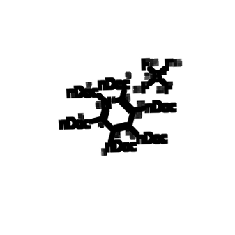 CCCCCCCCCCc1c(CCCCCCCCCC)c(CCCCCCCCCC)[n+](CCCCCCCCCC)c(CCCCCCCCCC)c1CCCCCCCCCC.F[B-](F)(F)F